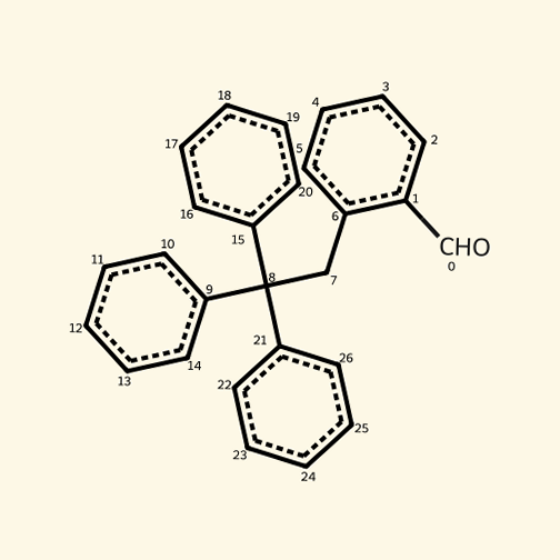 O=Cc1ccccc1CC(c1ccccc1)(c1ccccc1)c1ccccc1